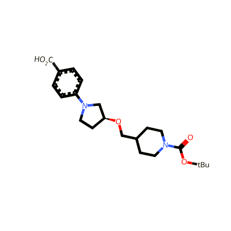 CC(C)(C)OC(=O)N1CCC(CO[C@H]2CCN(c3ccc(C(=O)O)cc3)C2)CC1